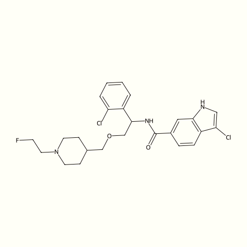 O=C(NC(COCC1CCN(CCF)CC1)c1ccccc1Cl)c1ccc2c(Cl)c[nH]c2c1